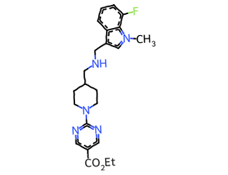 CCOC(=O)c1cnc(N2CCC(CNCc3cn(C)c4c(F)cccc34)CC2)nc1